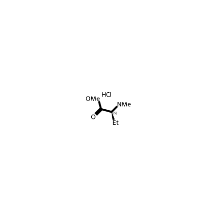 CC[C@H](NC)C(=O)OC.Cl